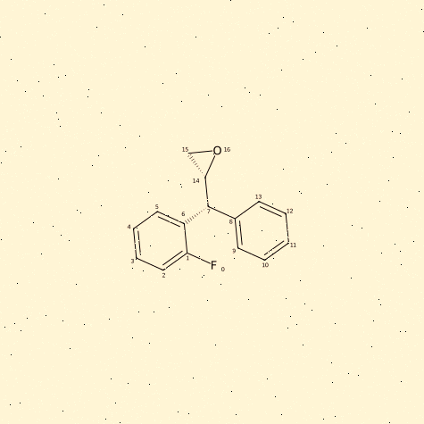 Fc1ccccc1[C@@H](c1ccccc1)[C@@H]1CO1